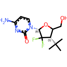 CC(C)(C)[C@H]1C(CO)O[C@@H](n2ccc(N)nc2=O)C1(F)F